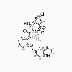 CN1C(C(=O)Nc2ncccc2OCc2ccc3ncccc3c2)=C(O)c2sc(Cl)cc2S1(=O)=O